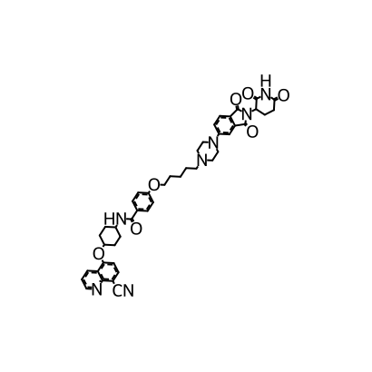 N#Cc1ccc(OC2CCC(NC(=O)c3ccc(OCCCCCN4CCN(c5ccc6c(c5)C(=O)N(C5CCC(=O)NC5=O)C6=O)CC4)cc3)CC2)c2cccnc12